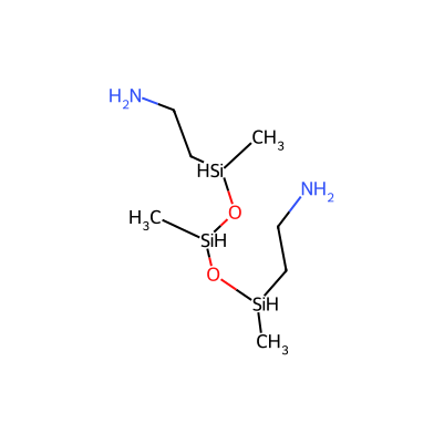 C[SiH](CCN)O[SiH](C)O[SiH](C)CCN